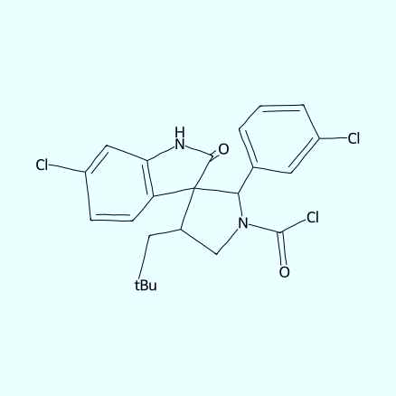 CC(C)(C)CC1CN(C(=O)Cl)C(c2cccc(Cl)c2)C12C(=O)Nc1cc(Cl)ccc12